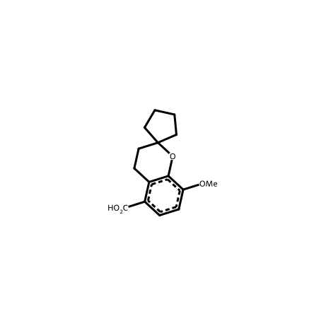 COc1ccc(C(=O)O)c2c1OC1(CCCC1)CC2